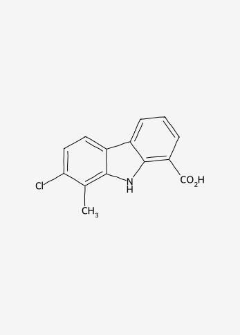 Cc1c(Cl)ccc2c1[nH]c1c(C(=O)O)cccc12